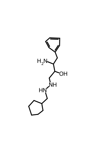 NC(Cc1ccccc1)C(O)CNNCC1CCCCC1